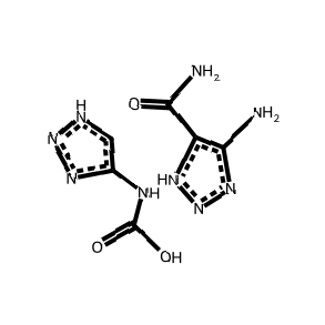 NC(=O)c1[nH]nnc1N.O=C(O)Nc1c[nH]nn1